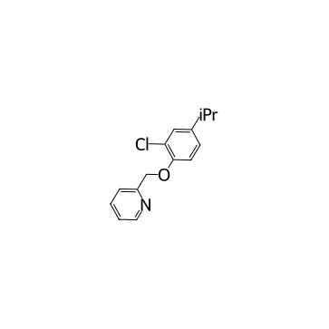 CC(C)c1ccc(OCc2ccccn2)c(Cl)c1